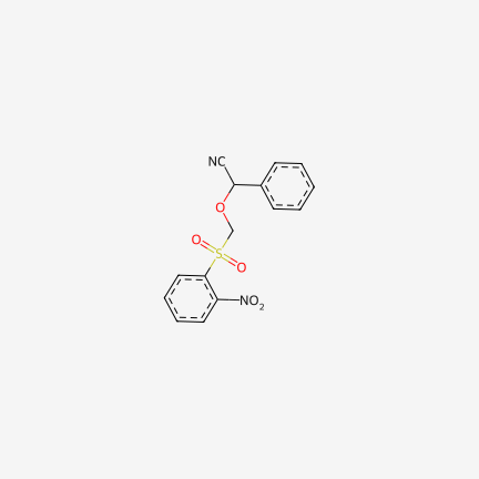 N#CC(OCS(=O)(=O)c1ccccc1[N+](=O)[O-])c1ccccc1